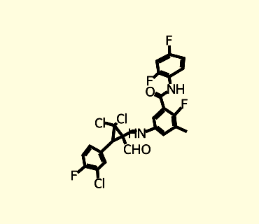 Cc1cc(NCC2(C=O)C(c3ccc(F)c(Cl)c3)C2(Cl)Cl)cc(C(=O)Nc2ccc(F)cc2F)c1F